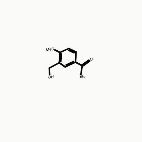 COc1ccc(C(=O)C(C)(C)C)cc1CO